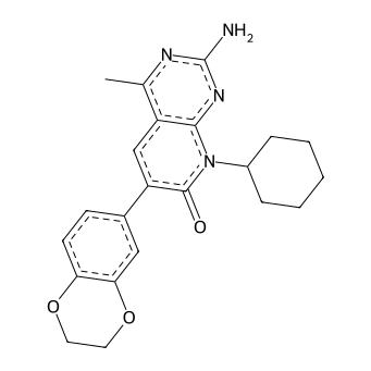 Cc1nc(N)nc2c1cc(-c1ccc3c(c1)OCCO3)c(=O)n2C1CCCCC1